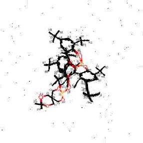 Cc1c(C(C)(C)C)cc(C(C)(C)C)c(OP2OCC3(CO2)COC(C)(C)OC3)c1-c1c(C)c(C(C)(C)C)cc(C(C)(C)C)c1Op1oc2c(C(C)(C)C)cc(C(C)(C)C)cc2c2cc(C(C)(C)C)cc(C(C)(C)C)c2o1